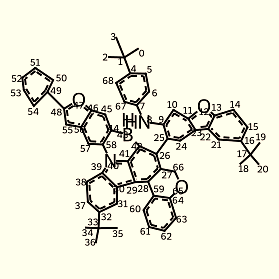 CC(C)(C)c1ccc(Nc2cc3oc4ccc(C(C)(C)C)cc4c3cc2-c2c3c(c4c5cc(C(C)(C)C)ccc5n5c4c2Bc2cc4oc(-c6ccccc6)cc4cc2-5)-c2ccccc2OC3)cc1